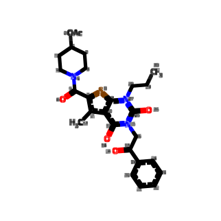 CC(=O)OC1CCN(C(=O)c2sc3c(c2C)c(=O)n(CC(=O)c2ccccc2)c(=O)n3CCC(F)(F)F)CC1